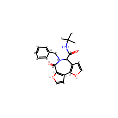 CC(C)(C)NC(=O)C1c2ccoc2-c2ccoc2C(=O)N1Cc1ccccc1